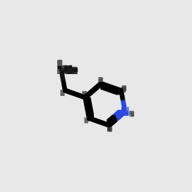 CNCc1c[c]ncc1